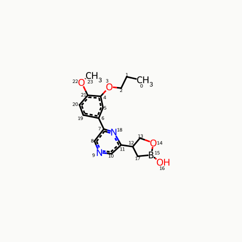 CCCOc1cc(-c2cncc(C3COB(O)C3)n2)ccc1OC